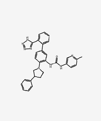 Cc1ccc(NC(=O)Nc2cc(-c3ccccc3-c3nnn[nH]3)ccc2N2CCC(c3ccccc3)C2)cn1